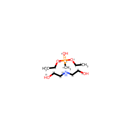 CCO[PH](C)(O)OCC.OCCNCCO